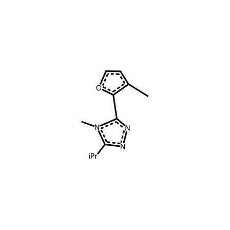 Cc1ccoc1-c1nnc(C(C)C)n1C